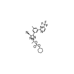 Cc1cc(-c2nccc(C(F)(F)F)n2)cc(-c2nn(C(C)OC(=O)OC3CCCCC3)nc2C#N)c1